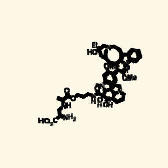 CCC1(O)CC2CC([C@@H](C(=O)OC)c3cc4c(cc3OC)N(C)C3C45CCN4CC=C[C@](CC)(C45)[C@@H](O)[C@]3(O)C(=O)NCCCOC(=O)C(C)NCC(N)C(=O)O)c3[nH]c4ccccc4c3CCN(C2)C1